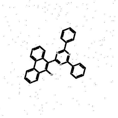 Brc1c(-c2nc(-c3ccccc3)nc(-c3ccccc3)n2)c2ccccc2c2ccccc12